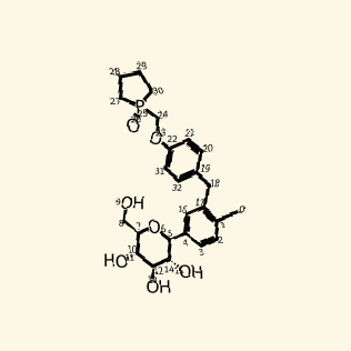 Cc1ccc([C@@H]2O[C@H](CO)[C@@H](O)[C@H](O)[C@H]2O)cc1Cc1ccc(OCP2(=O)CCCC2)cc1